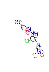 Cc1c(CN2CCN(C(=O)C3CCCC3)C(C)C2)cc(Cl)cc1Nc1nc2cc(C#N)ccc2o1